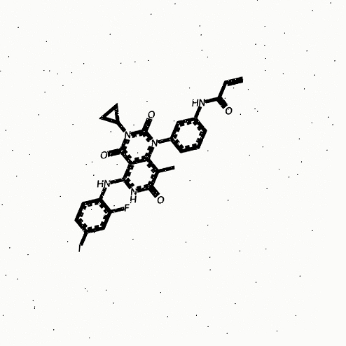 C=CC(=O)Nc1cccc(-n2c(=O)n(C3CC3)c(=O)c3c(Nc4ccc(I)cc4F)[nH]c(=O)c(C)c32)c1